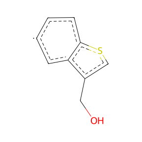 OCc1csc2cc[c]cc12